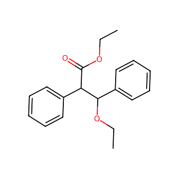 CCOC(=O)C(c1ccccc1)C(OCC)c1ccccc1